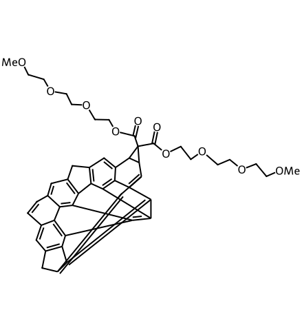 COCCOCCOCCOC(=O)C1(C(=O)OCCOCCOCCOC)C2c3cc4c5c6c(cc7ccc8cc9c%10c%11c(cc(c%12c3c5c(c%12%11)c3c6c7c8c%103)C21)C9)C4